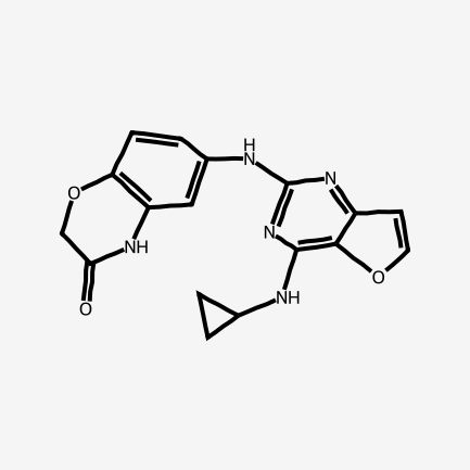 O=C1COc2ccc(Nc3nc(NC4CC4)c4occc4n3)cc2N1